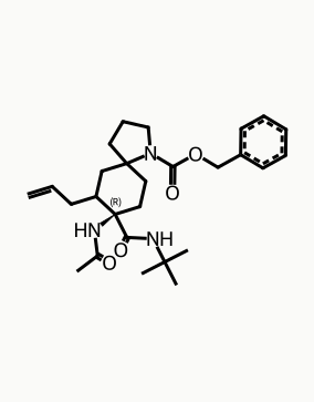 C=CCC1CC2(CCCN2C(=O)OCc2ccccc2)CC[C@]1(NC(C)=O)C(=O)NC(C)(C)C